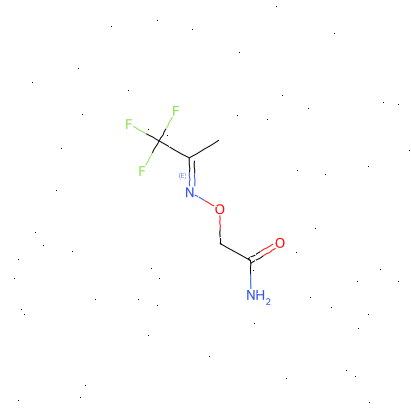 C/C(=N\OCC(N)=O)C(F)(F)F